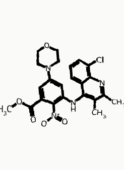 COC(=O)c1cc(N2CCOCC2)cc(Nc2c(C)c(C)nc3c(Cl)cccc23)c1[N+](=O)[O-]